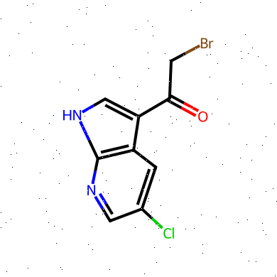 O=C(CBr)c1c[nH]c2ncc(Cl)cc12